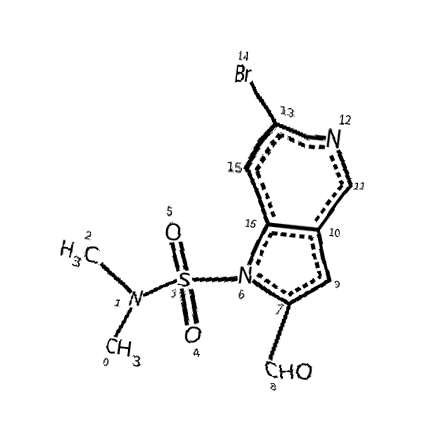 CN(C)S(=O)(=O)n1c(C=O)cc2cnc(Br)cc21